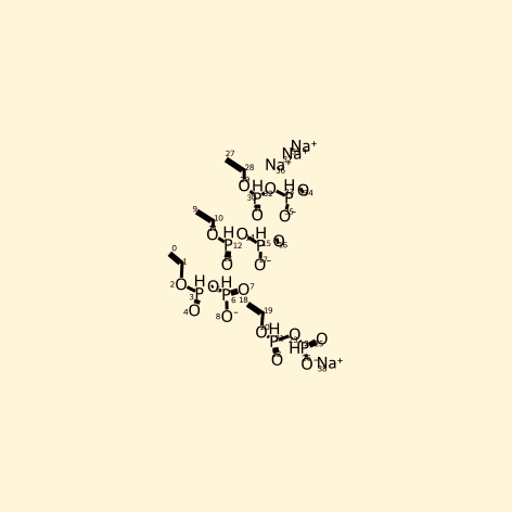 C=CO[PH](=O)O[PH](=O)[O-].C=CO[PH](=O)O[PH](=O)[O-].C=CO[PH](=O)O[PH](=O)[O-].C=CO[PH](=O)O[PH](=O)[O-].[Na+].[Na+].[Na+].[Na+]